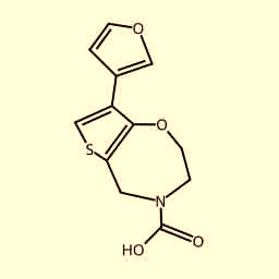 O=C(O)N1CCOc2c(-c3ccoc3)csc2C1